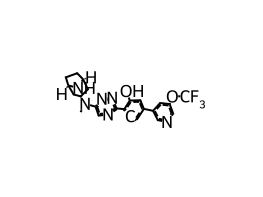 CN(c1cnc(-c2ccc(-c3cncc(OC(F)(F)F)c3)cc2O)nn1)[C@@H]1C[C@H]2CC[C@@H](C1)N2